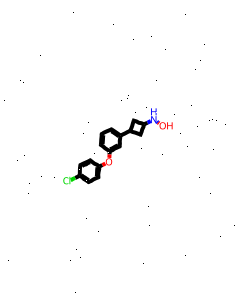 ONC1CC(c2cccc(Oc3ccc(Cl)cc3)c2)C1